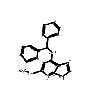 CCOC(=O)Nc1cc(NC(c2ccccc2)c2ccccc2)c2nc[nH]c2n1